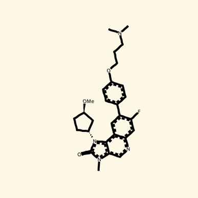 CO[C@@H]1CC[C@@H](n2c(=O)n(C)c3cnc4cc(F)c(-c5ccc(OCCCN(C)C)cc5)cc4c32)C1